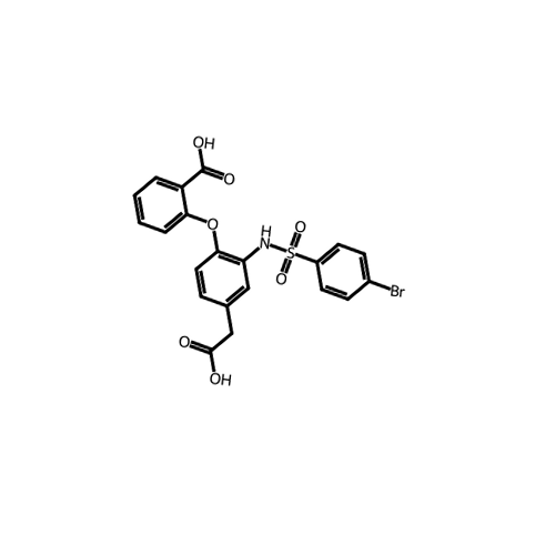 O=C(O)Cc1ccc(Oc2ccccc2C(=O)O)c(NS(=O)(=O)c2ccc(Br)cc2)c1